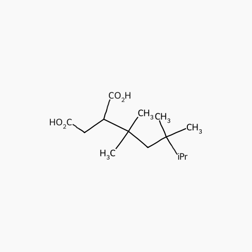 CC(C)C(C)(C)CC(C)(C)C(CC(=O)O)C(=O)O